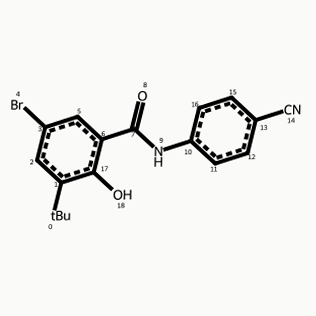 CC(C)(C)c1cc(Br)cc(C(=O)Nc2ccc(C#N)cc2)c1O